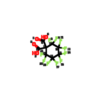 O=C(O)C1(C(=O)O)C(F)(F)C(F)(F)C(F)(F)C(F)(F)C1(F)F